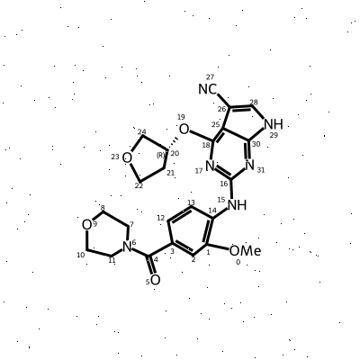 COc1cc(C(=O)N2CCOCC2)ccc1Nc1nc(O[C@@H]2CCOC2)c2c(C#N)c[nH]c2n1